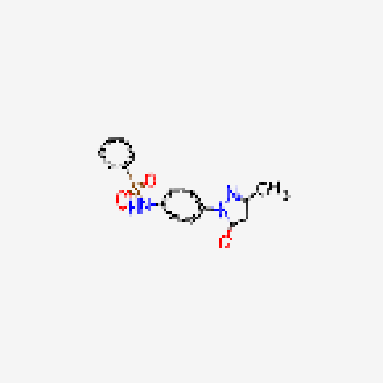 CC1=NN(c2ccc(NS(=O)(=O)c3ccccc3)cc2)C(=O)C1